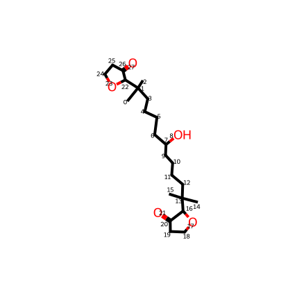 CC(C)(CCCCC(O)CCCCC(C)(C)C1OCCC1=O)C1OCCC1=O